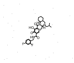 CC(C)CN1CC2CCCC[C@@H]2N2C(=O)c3c(O)c(=O)c(C(=O)NCc4ccc(F)cc4F)cn3C[C@@H]12